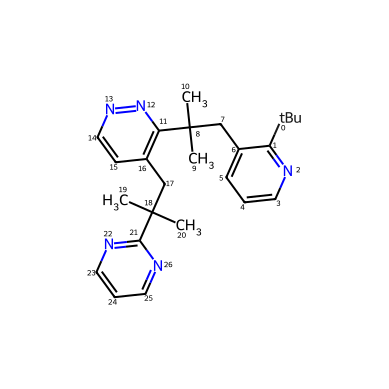 CC(C)(C)c1ncccc1CC(C)(C)c1nnccc1CC(C)(C)c1ncccn1